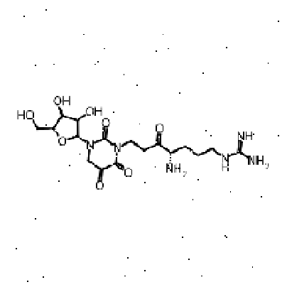 N=C(N)NCCC[C@H](N)C(=O)CCN1C(=O)C(=O)CN([C@H]2O[C@@H](CO)C(O)C2O)C1=O